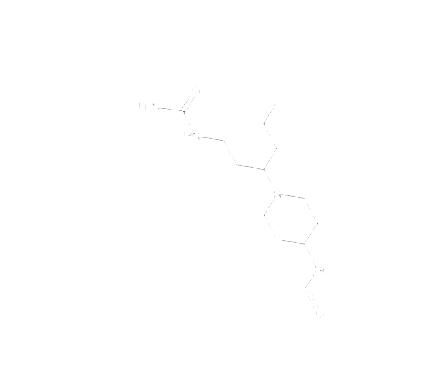 CCCC(CCNC(N)=O)N1CCC(NC=O)CC1